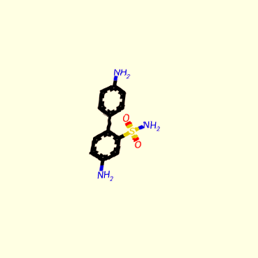 Nc1ccc(-c2ccc(N)cc2S(N)(=O)=O)cc1